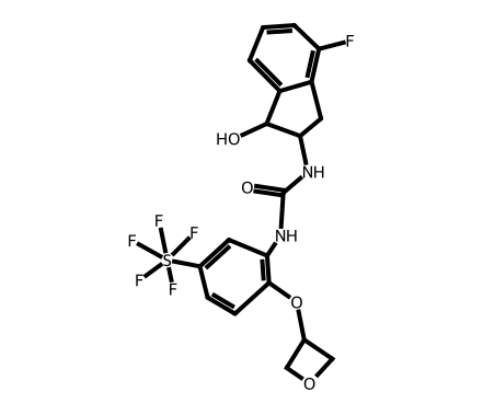 O=C(Nc1cc(S(F)(F)(F)(F)F)ccc1OC1COC1)NC1Cc2c(F)cccc2C1O